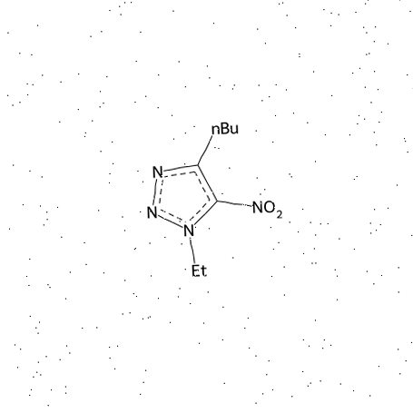 CCCCc1nnn(CC)c1[N+](=O)[O-]